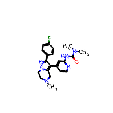 CN1CCn2nc(-c3ccc(F)cc3)c(-c3ccnc(NC(=O)N(C)C)c3)c2C1